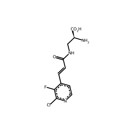 N[C@@H](CNC(=O)/C=C/c1ccnc(Cl)c1F)C(=O)O